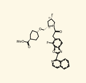 COC(=O)[C@H]1CC[C@H](OC[C@@H]2C[C@H](F)CN2C(=O)Cc2ccc3nc(-c4nccc5ccccc45)oc3c2F)CC1